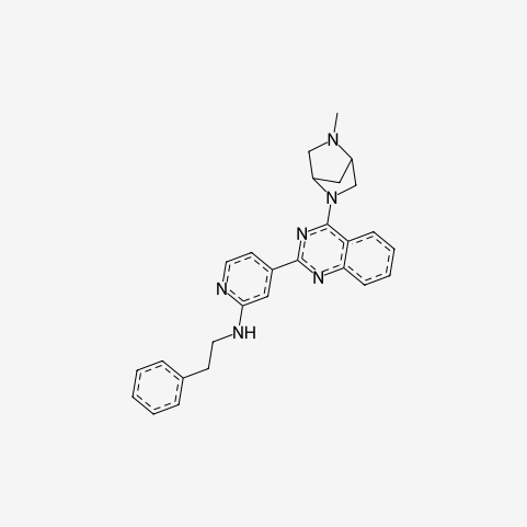 CN1CC2CC1CN2c1nc(-c2ccnc(NCCc3ccccc3)c2)nc2ccccc12